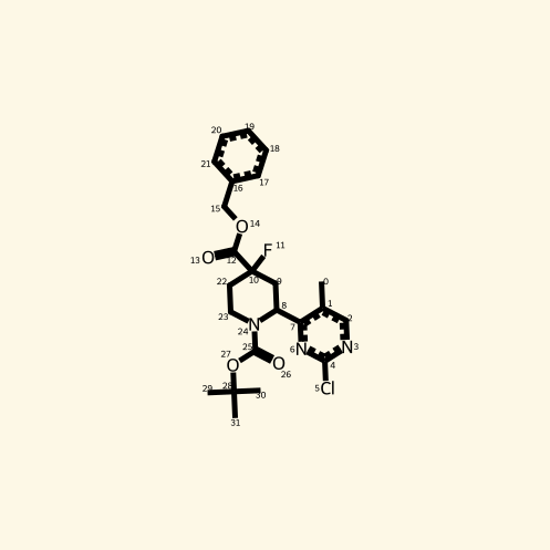 Cc1cnc(Cl)nc1C1CC(F)(C(=O)OCc2ccccc2)CCN1C(=O)OC(C)(C)C